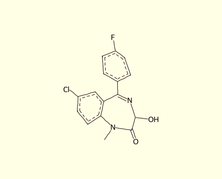 CN1C(=O)C(O)N=C(c2ccc(F)cc2)c2cc(Cl)ccc21